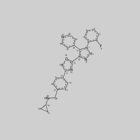 Fc1ccccc1-n1nnc(-c2nc(-c3ccc(CNC4CC4)cc3)no2)c1-c1ccncc1